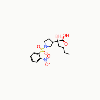 BC(CCCC)(C(=O)O)C1CCN(S(=O)(=O)c2ccccc2[N+](=O)[O-])C1